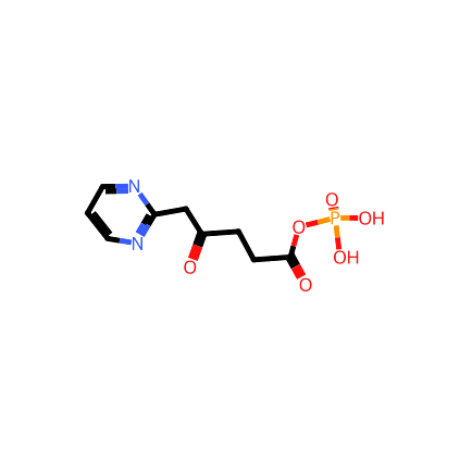 O=C(CCC(=O)OP(=O)(O)O)Cc1ncccn1